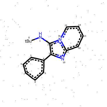 CC(C)(C)Nc1c(-c2ccccc2)nc2ccccn12